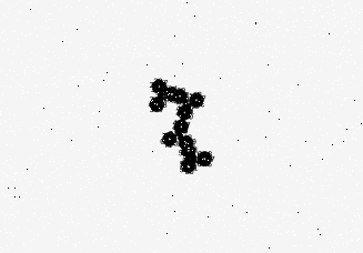 c1ccc(N(c2ccc(-c3ccc(N(c4ccccc4)c4ccc5cc6c7ccccc7n(-c7ccccc7)c6cc5c4)cc3)cc2)c2ccc3cc4c(cc3c2)c2ccccc2n4-c2ccccc2)cc1